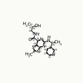 Cc1nc2nc(N[C@@H](C)c3cccnc3)nc(C(=O)NC[C@H](C)O)c2s1